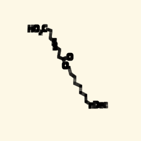 CCCCCCCCCCCCCCCCCCOC(=O)CCSSCCC(=O)O